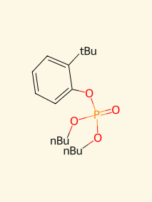 CCCCOP(=O)(OCCCC)Oc1ccccc1C(C)(C)C